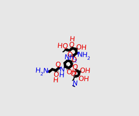 C=NC[C@H]1O[C@@H](OC2[C@H](O[C@H]3OC([C@@H](C)O)[C@@H](O)[C@H](O)C3N)C(N)C[C@@H](NC(=O)[C@@H](O)CCN)[C@H]2O)[C@@H](O)C1O